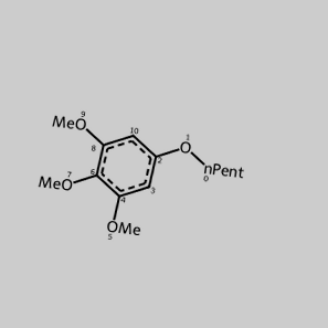 [CH2]CCCCOc1cc(OC)c(OC)c(OC)c1